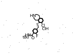 CC(C)(C)NC(=O)c1ccc(CSc2c(Cl)ccc3c2CCNCC3)cc1F.Cl